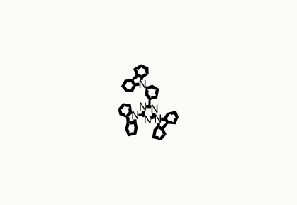 c1cc(-c2nc(-n3c4ccccc4c4ccccc43)nc(-n3c4ccccc4c4ccccc43)n2)cc(-n2c3ccccc3c3ccccc32)c1